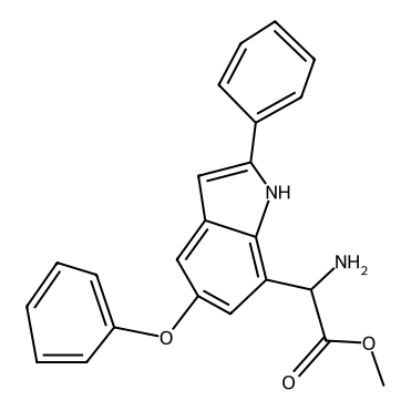 COC(=O)C(N)c1cc(Oc2ccccc2)cc2cc(-c3ccccc3)[nH]c12